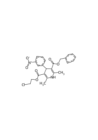 CC1=C(C(=O)OCCCl)C(c2cccc([N+](=O)[O-])c2)C(C(=O)OCc2ccccc2)=C(C)N1